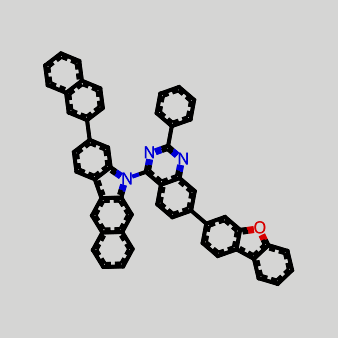 c1ccc(-c2nc(-n3c4cc(-c5ccc6ccccc6c5)ccc4c4cc5ccccc5cc43)c3ccc(-c4ccc5c(c4)oc4ccccc45)cc3n2)cc1